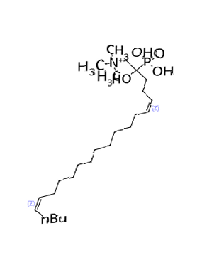 CCCC/C=C\CCCCCCCCCC/C=C\CCC(O)(C[N+](C)(C)C)P(=O)(O)O